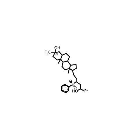 CC(C)C(O)CC(CCC1CCC2C3CCC4C[C@](O)(C(F)(F)F)CCC4(C)C3CCC12C)S(=O)(=O)c1ccccc1